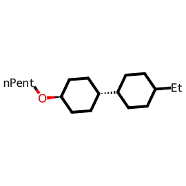 CCCCCO[C@H]1CC[C@H](C2CCC(CC)CC2)CC1